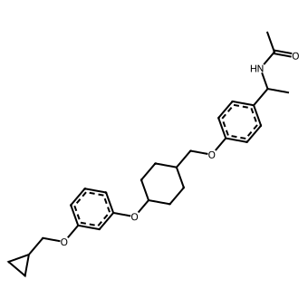 CC(=O)NC(C)c1ccc(OCC2CCC(Oc3cccc(OCC4CC4)c3)CC2)cc1